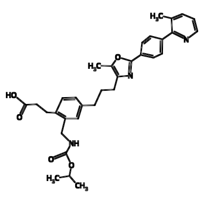 Cc1cccnc1-c1ccc(-c2nc(CCCc3ccc(CCC(=O)O)c(CNC(=O)OC(C)C)c3)c(C)o2)cc1